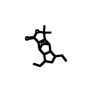 CCC1CC(CC)C2C3OC(C4C(=O)OC(C)(C)C34)C12